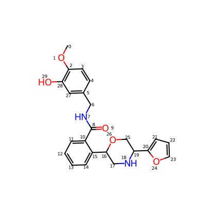 COc1ccc(CNC(=O)c2ccccc2C2CNC(c3ccco3)CO2)cc1O